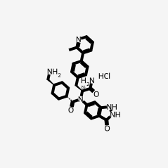 Cc1ncccc1-c1ccc(C[C@@H](C(N)=O)N(c2ccc3c(=O)[nH][nH]c3c2)C(=O)[C@H]2CC[C@H](CN)CC2)cc1.Cl